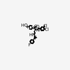 O=C(N[C@@H](CCN[C@@H]1C[C@H]1c1ccc(F)cc1)C(=O)N1CCN(CO)CC1)c1ccc(Cl)c(Cl)c1